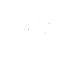 BCS(=O)(=O)c1nc2c(c(=O)n(C)c(=O)n2CC#Cc2cc(NC(=O)C3CC3)cc(OCCOC)c2)n1C